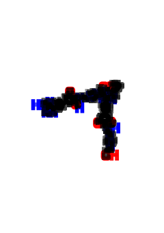 O=C1CC(c2ccc(-c3ncnc4[nH]cnc34)cc2)CC(=O)C1=CNCCN1CCN(C(CO)c2nc(-c3ccc(C4CC(=O)C(=CNCCN5CCN(CCO)CC5)C(=O)C4)cc3)c3ncn(C4CCCCO4)c3n2)CC1